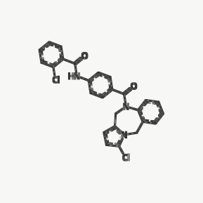 O=C(Nc1ccc(C(=O)N2Cc3ccc(Cl)n3Cc3ccccc32)cc1)c1ccccc1Cl